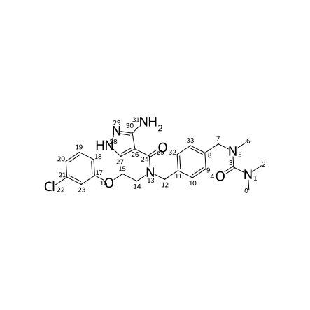 CN(C)C(=O)N(C)Cc1ccc(CN(CCOc2cccc(Cl)c2)C(=O)c2c[nH]nc2N)cc1